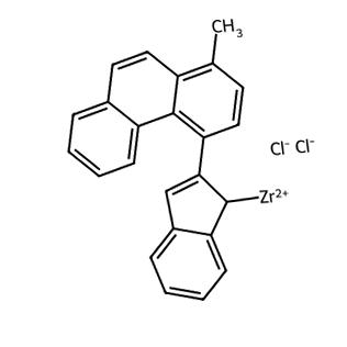 Cc1ccc(C2=Cc3ccccc3[CH]2[Zr+2])c2c1ccc1ccccc12.[Cl-].[Cl-]